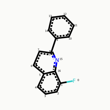 Fc1cccc2ccc(-c3ccccc3)nc12